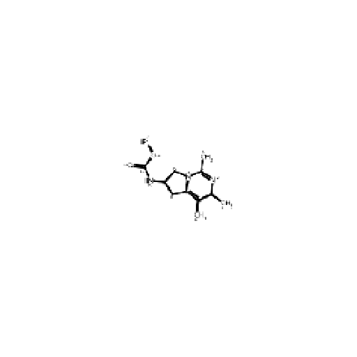 CC1=NC(C)C(C)=C2CC(NC(=O)OC(C)C)CN12